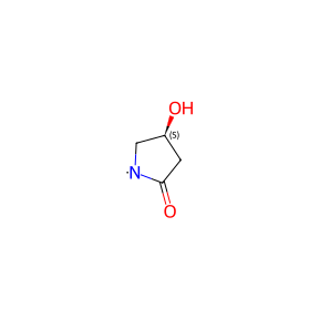 O=C1C[C@H](O)C[N]1